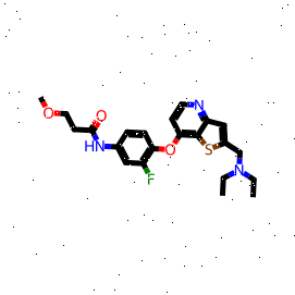 CCN(CC)Cc1cc2nccc(Oc3ccc(NC(=O)CCOC)cc3F)c2s1